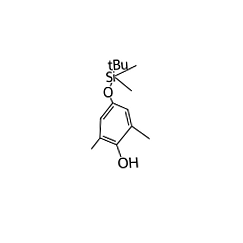 Cc1cc(O[Si](C)(C)C(C)(C)C)cc(C)c1O